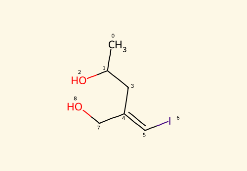 CC(O)C/C(=C\I)CO